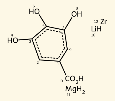 O=C(O)c1cc(O)c(O)c(O)c1.[LiH].[MgH2].[Zr]